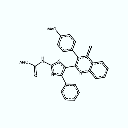 COC(=O)Nc1nc(-c2ccccc2)c(-c2nc3ccccc3c(=O)n2-c2ccc(OC)cc2)s1